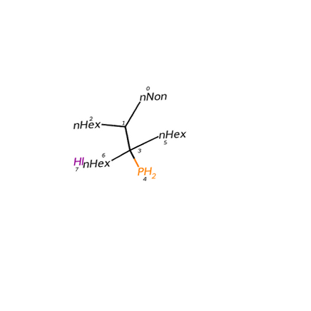 CCCCCCCCCC(CCCCCC)C(P)(CCCCCC)CCCCCC.I